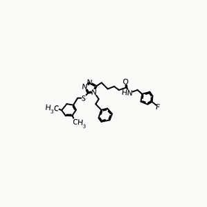 CC1=CC(C)CC(CSc2nnc(CCCCC(=O)NCc3ccc(F)cc3)n2CCc2ccccc2)=C1